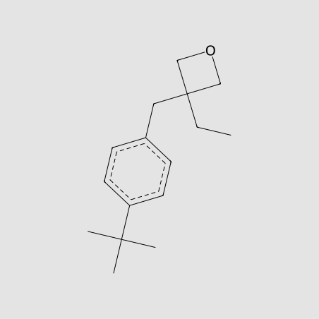 CCC1(Cc2ccc(C(C)(C)C)cc2)COC1